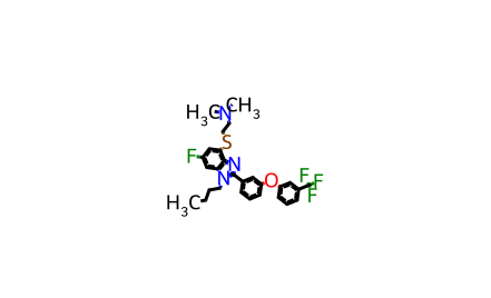 CCCCn1c(-c2cccc(Oc3cccc(C(F)(F)F)c3)c2)nc2c(SCCN(C)C)cc(F)cc21